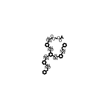 C=C(C)C(=O)OCCOC(=O)c1noc(-c2cccc(-c3noc(-c4cc(-c5nc(-c6cccc(-c7noc(Cc8ccccc8)n7)c6)no5)cc(-c5nc(-c6cccc(-c7nc(Cc8ccccc8)ns7)c6)no5)c4)n3)c2)n1